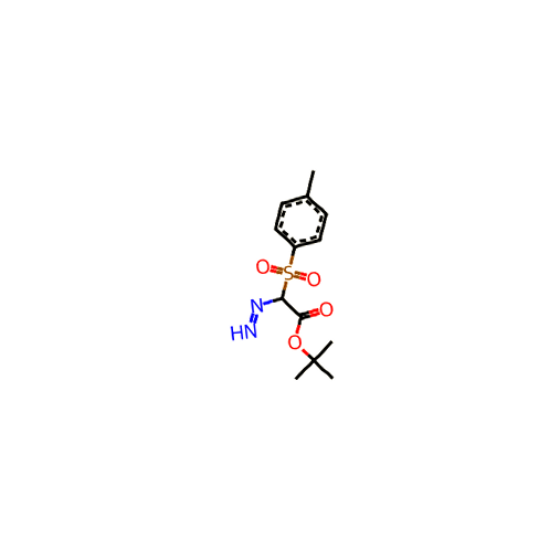 Cc1ccc(S(=O)(=O)C(N=N)C(=O)OC(C)(C)C)cc1